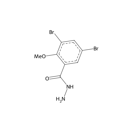 COc1c(Br)cc(Br)cc1C(=O)NN